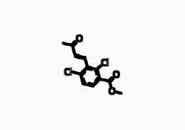 COC(=O)c1ccc(Cl)c(/C=C/C(C)=O)c1Cl